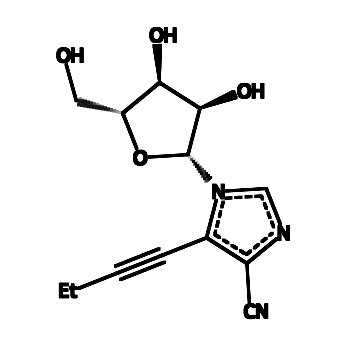 CCC#Cc1c(C#N)ncn1[C@@H]1O[C@H](CO)[C@@H](O)[C@H]1O